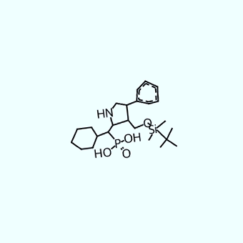 CC(C)(C)[Si](C)(C)OCC1C(c2ccccc2)CNC1C(C1CCCCC1)P(=O)(O)O